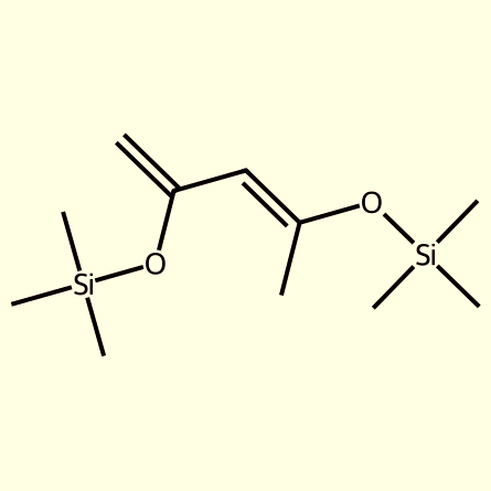 C=C(/C=C(\C)O[Si](C)(C)C)O[Si](C)(C)C